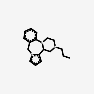 CCCN1CCN2c3ccccc3Cn3cccc3C2C1